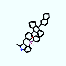 CC1=Nc2cccc3c2C1Cc1ccc(-c2c4ccccc4c(-c4ccc5ccccc5c4)c4ccccc24)cc1P3(=O)c1ccccc1